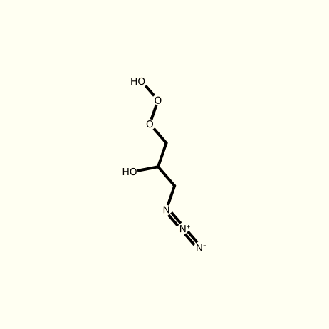 [N-]=[N+]=NCC(O)COOO